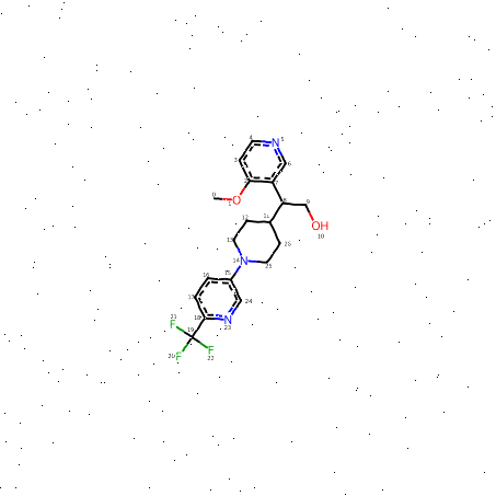 COc1ccncc1C(CO)C1CCN(c2ccc(C(F)(F)F)nc2)CC1